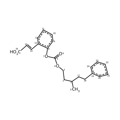 CC(CCOC(=O)Oc1ccccc1/C=C/C(=O)O)CCc1ccccc1